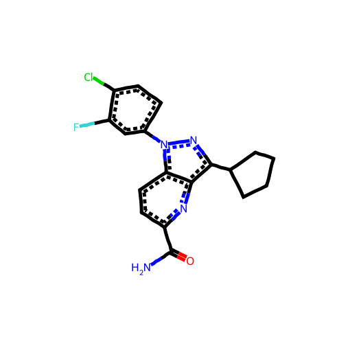 NC(=O)c1ccc2c(n1)c(C1CCCC1)nn2-c1ccc(Cl)c(F)c1